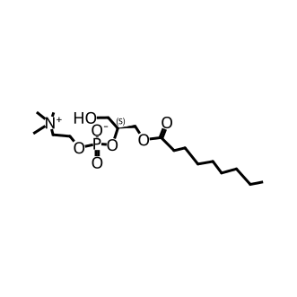 CCCCCCCCC(=O)OC[C@H](CO)OP(=O)([O-])OCC[N+](C)(C)C